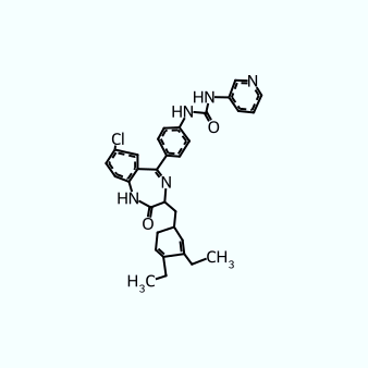 CCC1=CCC(CC2N=C(c3ccc(NC(=O)Nc4cccnc4)cc3)c3cc(Cl)ccc3NC2=O)C=C1CC